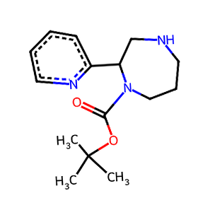 CC(C)(C)OC(=O)N1CCCNCC1c1ccccn1